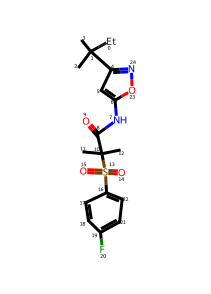 CCC(C)(C)c1cc(NC(=O)C(C)(C)S(=O)(=O)c2ccc(F)cc2)on1